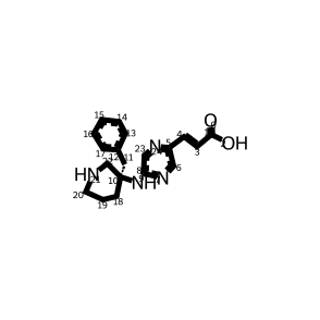 O=C(O)/C=C/c1cnc(N[C@@]2(Cc3ccccc3)CCCNC2)cn1